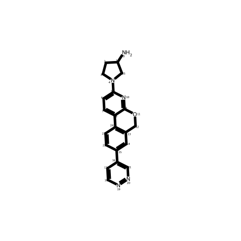 NC1CCN(c2ccc3c(n2)OCc2cc(-c4ccnnc4)ccc2-3)C1